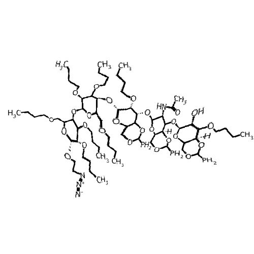 CCCCOCC1O[C@@H](OCCN=[N+]=[N-])[C@@H](OCCCC)C(OCCCC)[C@@H]1O[C@@H]1OC(COCCCC)[C@H](O[C@H]2OC3COC(P)OC3[C@@H](O[C@@H]3OC4COC(P)O[C@@H]4C(O[C@@H]4OC5COC(P)O[C@@H]5C(OCCCC)[C@@H]4O)[C@@H]3NC(C)=O)[C@H]2OCCCC)C(OCCCC)[C@@H]1OCCCC